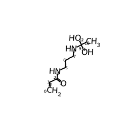 C=CC(=O)NCCCNC(C)(O)O